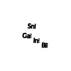 [Bi].[Ga].[In].[Sn]